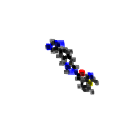 Cc1ncc([C@H](CC(=O)NC[C@H](Cc2ccc(-c3cnc[nH]3)cc2)N(C)C)CC(F)(F)F)s1